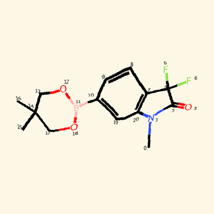 CN1C(=O)C(F)(F)c2ccc(B3OCC(C)(C)CO3)cc21